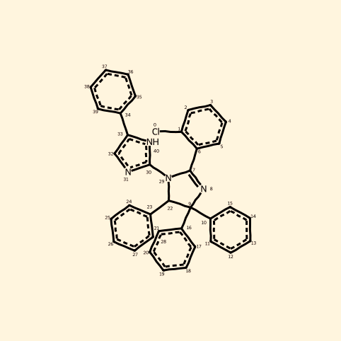 Clc1ccccc1C1=NC(c2ccccc2)(c2ccccc2)C(c2ccccc2)N1c1ncc(-c2ccccc2)[nH]1